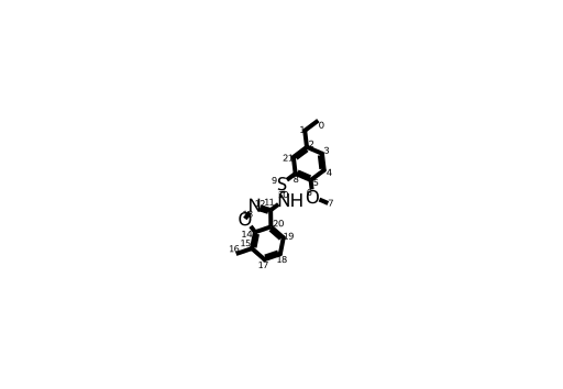 CCc1ccc(OC)c(SNc2noc3c(C)cccc23)c1